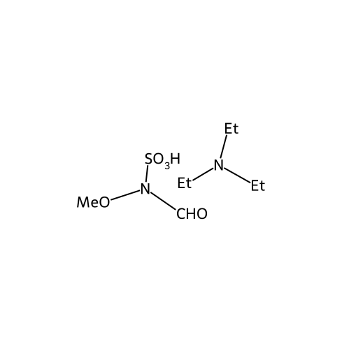 CCN(CC)CC.CON(C=O)S(=O)(=O)O